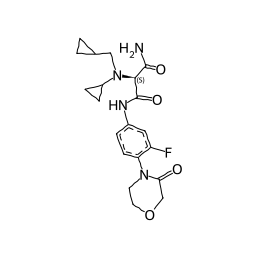 NC(=O)[C@@H](C(=O)Nc1ccc(N2CCOCC2=O)c(F)c1)N(CC1CC1)C1CC1